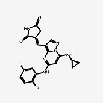 O=C1C/C(=C\c2cnn3c(NC4CC4)cc(Nc4cc(F)ccc4Cl)nc23)C(=O)N1